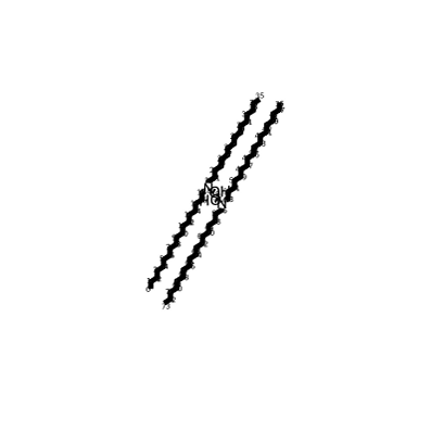 CCCCCCCCCCCCCCCCCCN(O)CCCCCCCCCCCCCCCC.CCCCCCCCCCCCCCCCCCN(O)CCCCCCCCCCCCCCCCCC